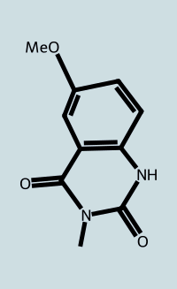 COc1ccc2[nH]c(=O)n(C)c(=O)c2c1